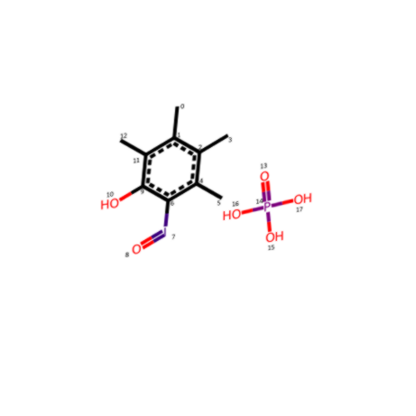 Cc1c(C)c(C)c(I=O)c(O)c1C.O=P(O)(O)O